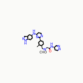 Cc1cc(-c2nccc(Nc3ccc4[nH]ncc4c3)n2)ccc1CN(C=O)CC(=O)Nc1ccnnc1